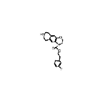 O=C(OCCc1cccc(F)c1)N1CCOc2cc3c(cc21)CCNCC3